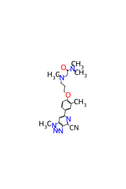 Cc1cc(-c2cc3c(nnn3C)c(C#N)n2)ccc1OCCCN(C)CC(=O)N(C)C